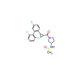 C[S+]([O-])NC1CCN(C(=O)C2CC2c2ccc(F)cc2-c2c(F)cccc2F)C1